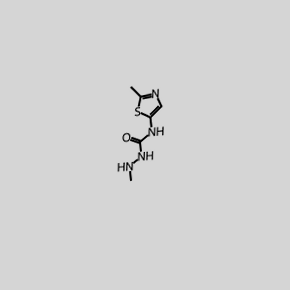 CNNC(=O)Nc1cnc(C)s1